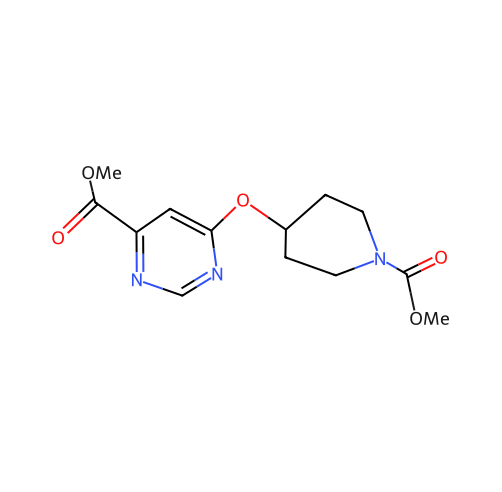 COC(=O)c1cc(OC2CCN(C(=O)OC)CC2)ncn1